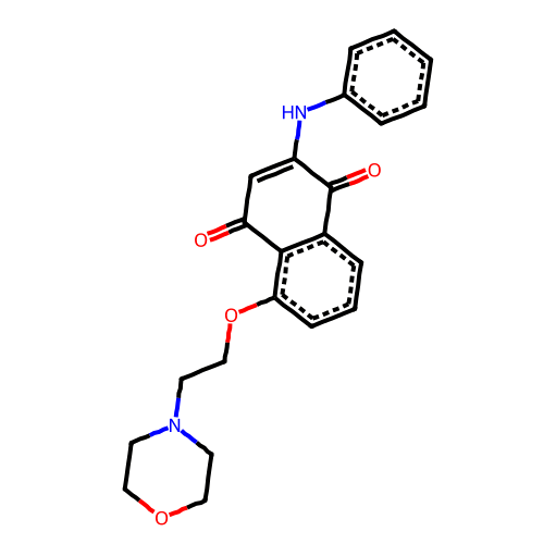 O=C1C(Nc2ccccc2)=CC(=O)c2c(OCCN3CCOCC3)cccc21